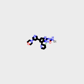 CCNC(=O)Nc1nc2cc(-c3cncc(N4CCOCC4)c3)cc(-c3ncccc3F)c2[nH]1